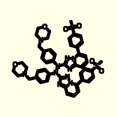 CS(=O)(=O)c1ccc(-c2cccc3nc(N(c4ccc(CN5CCOCC5)cc4)N(c4ccc(CN5CCOCC5)cc4)c4nc5cccc(-c6ccc(S(C)(=O)=O)cc6)n5n4)nn23)cc1